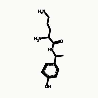 CC(NC(=O)C(N)CCCN)c1ccc(O)cc1